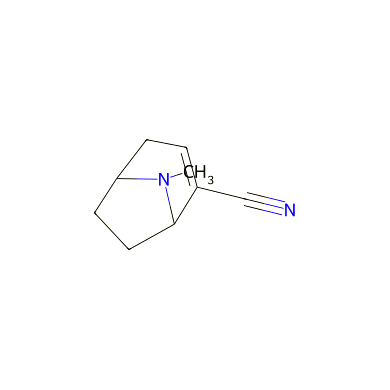 CN1C2CC=C(C#N)C1CC2